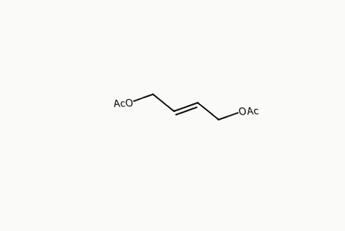 CC(=O)OCC=CCOC(C)=O